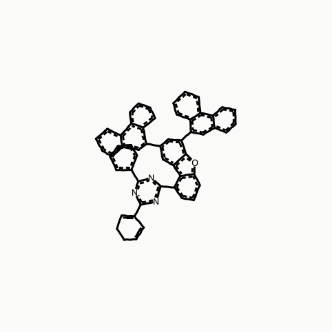 C1=CC(c2nc(-c3ccccc3)nc(-c3cccc4oc5c(-c6cc7ccccc7c7ccccc67)cc(-c6cc7ccccc7c7ccccc67)cc5c34)n2)=CCC1